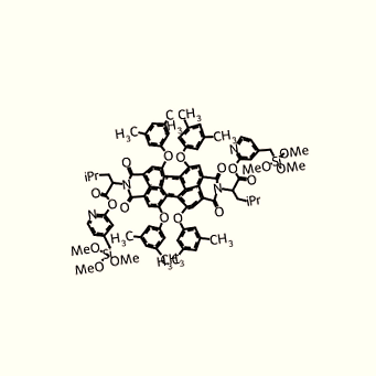 CO[Si](Cc1ccnc(OC(=O)C(CC(C)C)N2C(=O)c3cc(Oc4cc(C)cc(C)c4)c4c5c(Oc6cc(C)cc(C)c6)cc6c7c(cc(Oc8cc(C)cc(C)c8)c(c8c(Oc9cc(C)cc(C)c9)cc(c3c48)C2=O)c75)C(=O)N(C(CC(C)C)C(=O)Oc2cc(C[Si](OC)(OC)OC)ccn2)C6=O)c1)(OC)OC